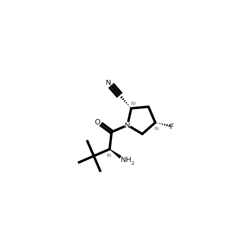 CC(C)(C)[C@H](N)C(=O)N1C[C@@H](F)C[C@H]1C#N